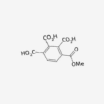 COC(=O)c1ccc(C(=O)O)c(C(=O)O)c1C(=O)O